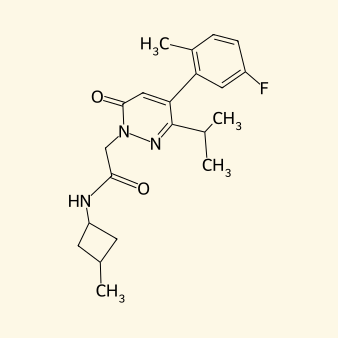 Cc1ccc(F)cc1-c1cc(=O)n(CC(=O)NC2CC(C)C2)nc1C(C)C